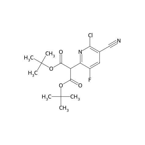 CC(C)(C)OC(=O)C(C(=O)OC(C)(C)C)c1nc(Cl)c(C#N)cc1F